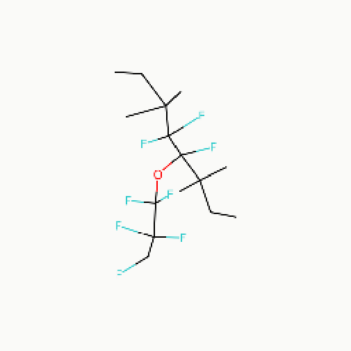 CCC(C)(C)C(F)(F)C(F)(OC(F)(F)C(F)(F)CF)C(C)(C)CC